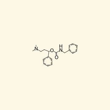 CN(C)CCC(OC(=O)NCc1ccccc1)c1ccccc1